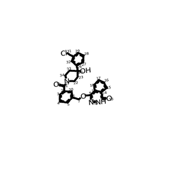 O=C(c1cccc(COc2n[nH]c(=O)c3ccccc23)c1)N1CCC(O)(c2cccc(Cl)c2)CC1